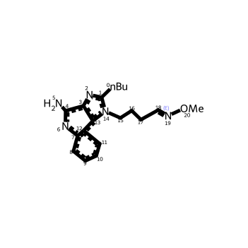 CCCCc1nc2c(N)nc3ccccc3c2n1CCC/C=N/OC